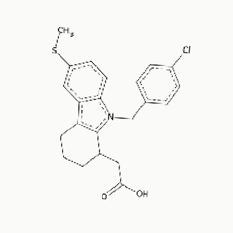 CSc1ccc2c(c1)c1c(n2Cc2ccc(Cl)cc2)C(CC(=O)O)CCC1